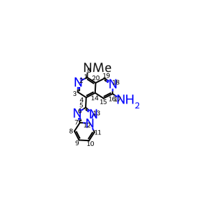 CNc1ncc(-c2nc3ccccn3n2)c2cc(N)ncc12